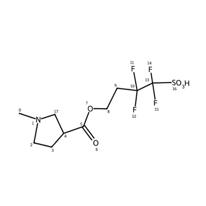 CN1CCC(C(=O)OCCC(F)(F)C(F)(F)S(=O)(=O)O)C1